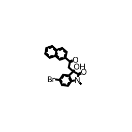 CN1C(=O)C(O)(CC(=O)c2ccc3ccccc3c2)c2cc(Br)ccc21